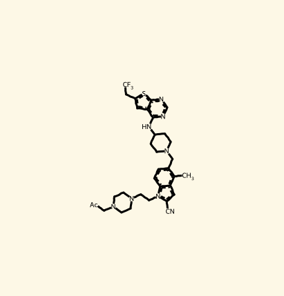 CC(=O)CN1CCN(CCn2c(C#N)cc3c(C)c(CN4CCC(Nc5ncnc6sc(CC(F)(F)F)cc56)CC4)ccc32)CC1